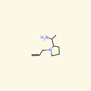 C=CCN1CCCC1C(C)N